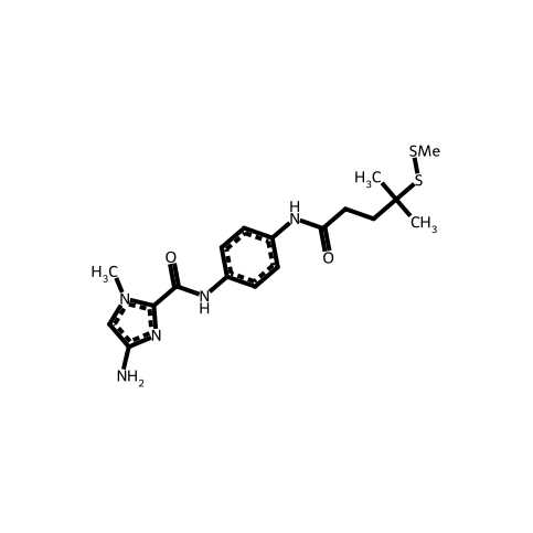 CSSC(C)(C)CCC(=O)Nc1ccc(NC(=O)c2nc(N)cn2C)cc1